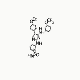 CCOc1ccc(-c2cnc(Nc3cccc([SH](=N)=O)c3)nc2NCc2cccc(OC(F)(F)F)c2)cc1